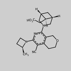 C[C@H]1CCN1c1nc(N2C[C@H]3C[C@@H](C2)[C@@H]3CC(=O)O)c2c(c1C#N)CCOC2